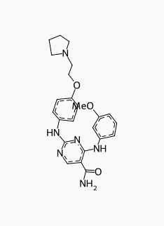 COc1cccc(Nc2nc(Nc3ccc(OCCN4CCCC4)cc3)ncc2C(N)=O)c1